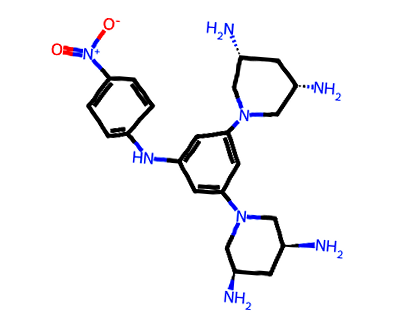 N[C@@H]1C[C@H](N)CN(c2cc(Nc3ccc([N+](=O)[O-])cc3)cc(N3C[C@H](N)C[C@H](N)C3)c2)C1